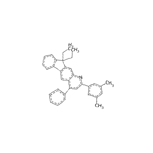 CCC1(CC)c2ccccc2-c2cc3c(-c4ccccc4)cc(-c4cc(C)cc(C)c4)nc3cc21